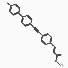 COC(=O)/C=C/c1ccc(C#Cc2ccc(-c3ccc(O)cc3)cc2)cc1